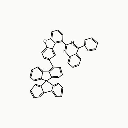 c1ccc(-c2nc(-c3cccc4oc5ccc(-c6cccc7c6-c6ccccc6C76c7ccccc7-c7ccccc76)cc5c34)nc3ccccc23)cc1